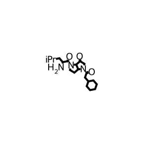 CC(C)CC(N)C(=O)N1CCC2C1C(=O)CN2C(=O)CC1CCCCC1